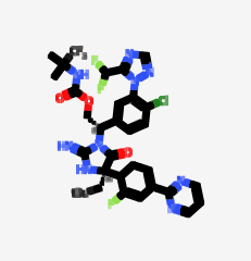 CC(C)(C)C[C@]1(C2CC=C(c3ncccn3)C=C2F)NC(=N)N([C@H](COC(=O)NC(C)(C)C(F)(F)F)c2ccc(Cl)c(-n3ncnc3C(F)F)c2)C1=O